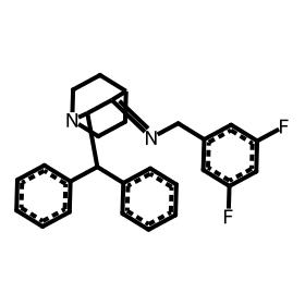 Fc1cc(F)cc(CN=C2C3CCN(CC3)C2C(c2ccccc2)c2ccccc2)c1